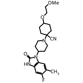 COCCOC1CCC(C#N)(N2CCC(n3c(=O)[nH]c4cc(F)c(C)cc43)CC2)CC1